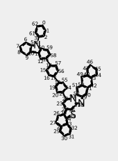 c1ccc(-n2c3ccccc3c3cc(-c4ccc(-c5ccc(-c6cc7c8ccc9ccccc9c8sc7c7nc8cc9cc%10ccccc%10cc9cc8n67)cc5)cc4)ccc32)cc1